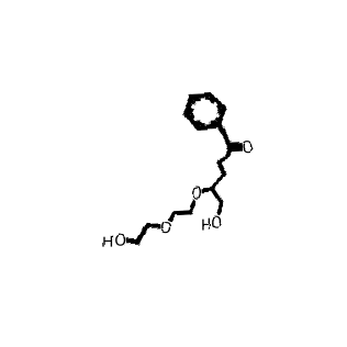 O=C(CCC(CO)OCCOCCO)c1ccccc1